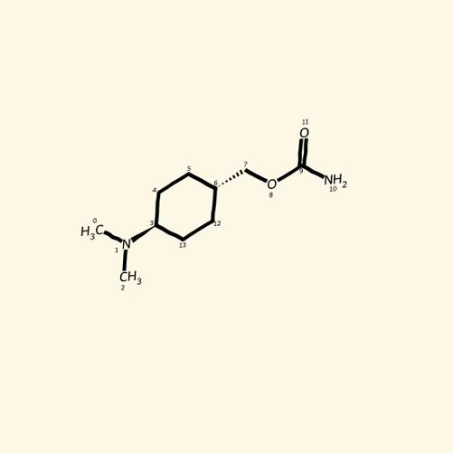 CN(C)[C@H]1CC[C@H](COC(N)=O)CC1